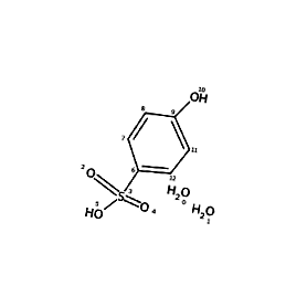 O.O.O=S(=O)(O)c1ccc(O)cc1